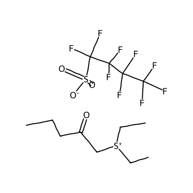 CCCC(=O)C[S+](CC)CC.O=S(=O)([O-])C(F)(F)C(F)(F)C(F)(F)C(F)(F)F